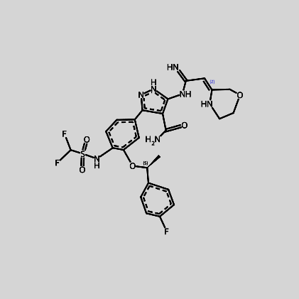 C[C@H](Oc1cc(-c2n[nH]c(NC(=N)/C=C3/COCCN3)c2C(N)=O)ccc1NS(=O)(=O)C(F)F)c1ccc(F)cc1